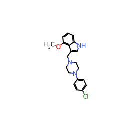 COc1cccc2[nH]cc(CN3CCN(c4ccc(Cl)cc4)CC3)c12